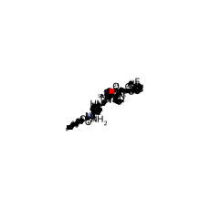 CCCCCCOC(=O)/N=C(\N)c1ccc(NCc2nc3cc(C(=O)N(CCC(=O)Oc4cccc(F)c4OC)c4ccccn4)ccc3n2C)cc1